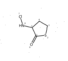 O=C1SCCC1NCl